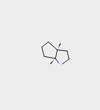 O[C@@H]1CC[C@@H]2CCN[C@@H]21